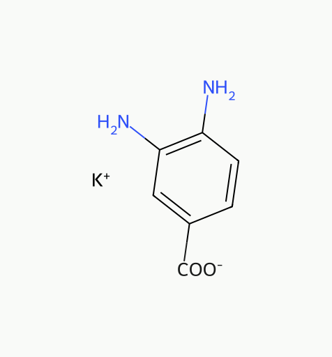 Nc1ccc(C(=O)[O-])cc1N.[K+]